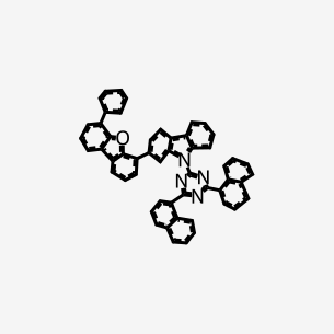 c1ccc(-c2cccc3c2oc2c(-c4ccc5c6ccccc6n(-c6nc(-c7cccc8ccccc78)nc(-c7cccc8ccccc78)n6)c5c4)cccc23)cc1